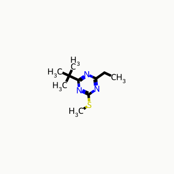 CCc1nc(SC)nc(C(C)(C)C)n1